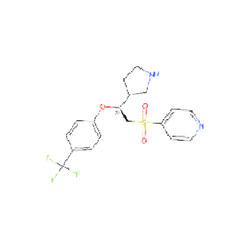 O=S(=O)(C[C@@H](Oc1ccc(C(F)(F)F)cc1)C1CCNC1)c1ccncc1